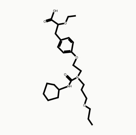 CCCOCCCN(CCOc1ccc(CC(OCC)C(=O)O)cc1)C(=O)NC1CCCCC1